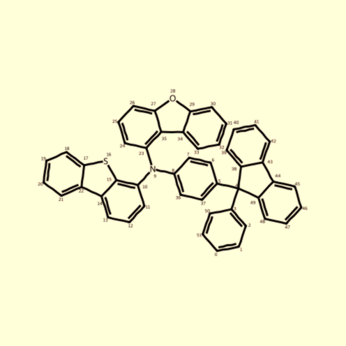 c1ccc(C2(c3ccc(N(c4cccc5c4sc4ccccc45)c4cccc5oc6ccccc6c45)cc3)c3ccccc3-c3ccccc32)cc1